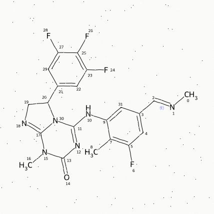 C/N=C/c1cc(F)c(C)c(NC2=NC(=O)N(C)C3=NCC(c4cc(F)c(F)c(F)c4)N23)c1